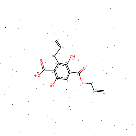 C=CCOC(=O)c1cc(O)c(C(=O)O)c(CC=C)c1O